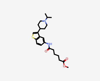 COC(=O)CCCCC(=O)Nc1ccc2scc(C3CCN(C(C)C)CC3)c2c1